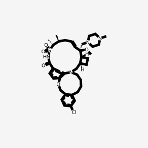 CO[C@]1(CN2CCN(C)CC2)/C=C/C[C@H](C)[C@@H](C)S(=O)(=O)NC(=O)c2ccc3c(c2)N(CCCCc2cc(Cl)ccc2CO3)C[C@@H]2CC[C@H]21